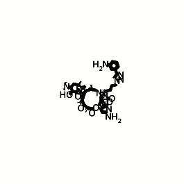 CC[C@H]1OC(=O)[C@H](C)C(=O)[C@H](C)[C@@H](O[C@@H]2O[C@H](C)CC(N(C)C)C2O)[C@](C)(OC)C[C@@H](C)CN[C@H]2N(CCCCn3cc(-c4cccc(N)c4)nn3)C(=O)O[C@]12n1ccc(N)nc1=O